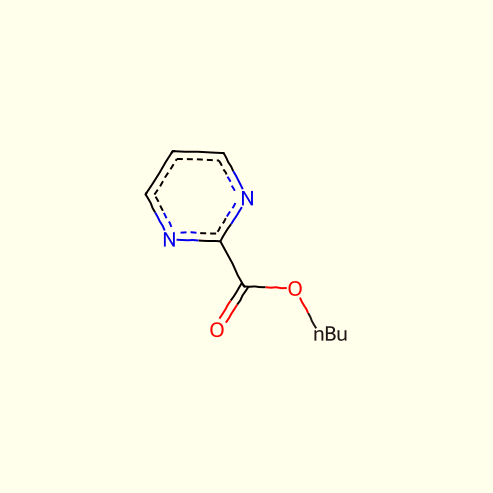 CCCCOC(=O)c1ncccn1